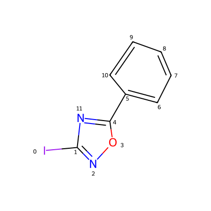 Ic1noc(-c2ccccc2)n1